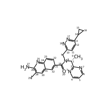 C[C@H](c1ncccn1)N(Cc1ccc(C2CC2)nn1)C(=O)c1ccc2nc(N)c(I)cc2c1